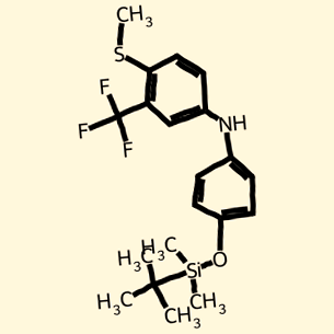 CSc1ccc(Nc2ccc(O[Si](C)(C)C(C)(C)C)cc2)cc1C(F)(F)F